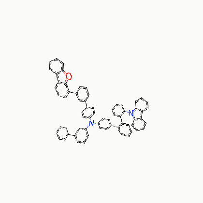 c1ccc(-c2cccc(N(c3ccc(-c4cccc(-c5cccc6c5oc5ccccc56)c4)cc3)c3ccc(-c4ccccc4-c4ccccc4-n4c5ccccc5c5ccccc54)cc3)c2)cc1